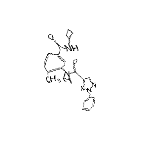 Cc1ccc(C(=O)NC2CC2)cc1NC(=O)c1cnn(-c2ccccc2)n1